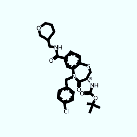 CC(C)(C)OC(=O)N[C@H]1CSc2ccc(C(=O)NCC3CCCOC3)cc2N(Cc2ccc(Cl)cc2)C1=O